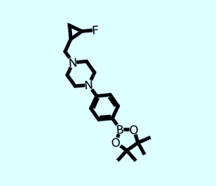 CC1(C)OB(c2ccc(N3CCN(CC4CC4F)CC3)cc2)OC1(C)C